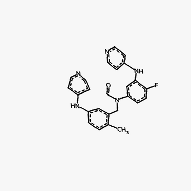 Cc1ccc(Nc2ccncc2)cc1CN(C=O)c1ccc(F)c(Nc2ccncc2)c1